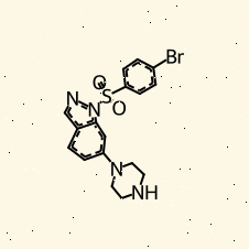 O=S(=O)(c1ccc(Br)cc1)n1ncc2ccc(N3CCNCC3)cc21